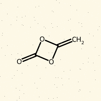 C=C1OC(=O)O1